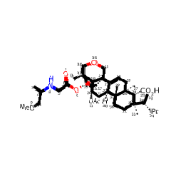 COCC(C)NCC(=O)O[C@H]1[C@H](OC(C)=O)C[C@@]23COC[C@]1(C)[C@@H]2CC[C@H]1C3=CC[C@@]2(C)[C@H](C(=O)O)[C@@](C)([C@H](C)C(C)C)CC[C@]12C